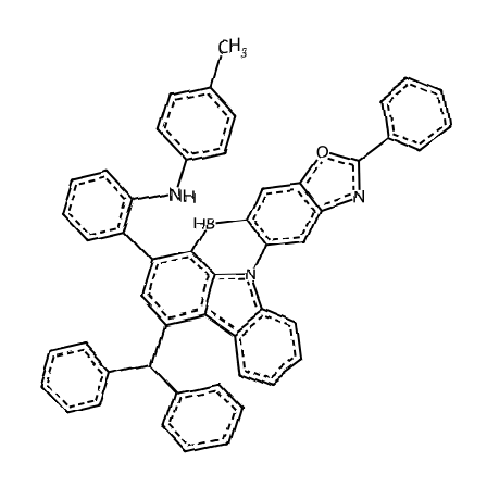 Cc1ccc(Nc2ccccc2-c2cc(C(c3ccccc3)c3ccccc3)c3c4ccccc4n4c3c2Bc2cc3oc(-c5ccccc5)nc3cc2-4)cc1